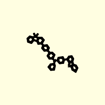 CC1(C)c2ccccc2-c2cc(-c3ccc(-c4ccc(N(c5ccccc5)c5ccc(-c6cccc7c6sc6ccccc67)cc5)cc4)cc3)ccc21